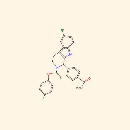 COC(=O)c1ccc(C2c3[nH]c4ccc(Br)cc4c3CCN2C(=S)Oc2ccc(F)cc2)cc1